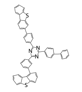 c1ccc(-c2ccc(-c3nc(-c4ccc(-c5ccc6c(c5)sc5ccccc56)cc4)nc(-c4cccc(-c5cccc6sc7ccccc7c56)c4)n3)cc2)cc1